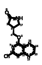 O=C1C[C@H](COc2nc(Cl)cc3nccnc23)CN1